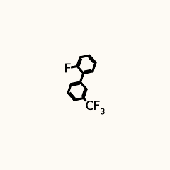 Fc1ccccc1-c1cccc(C(F)(F)F)c1